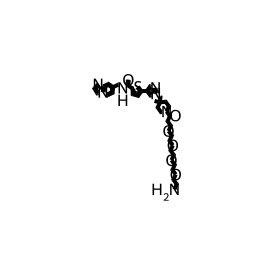 CC1(Cn2cc(-c3ccc(C(=O)NCc4ccn5ccnc5c4)s3)cn2)CCN(C(=O)CCOCCOCCOCCOCCN)CC1